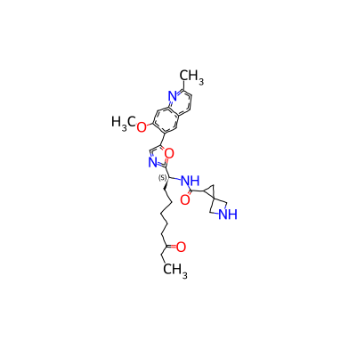 CCC(=O)CCCCC[C@H](NC(=O)C1CC12CNC2)c1ncc(-c2cc3ccc(C)nc3cc2OC)o1